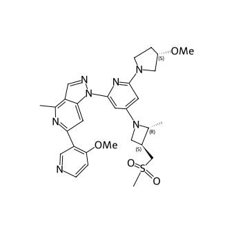 COc1ccncc1-c1cc2c(cnn2-c2cc(N3C[C@H](CS(C)(=O)=O)[C@H]3C)cc(N3CC[C@H](OC)C3)n2)c(C)n1